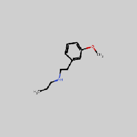 CCCNCCc1cccc(OC)c1